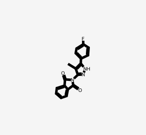 Cc1c(N2C(=O)c3ccccc3C2=O)n[nH]c1-c1ccc(F)cc1